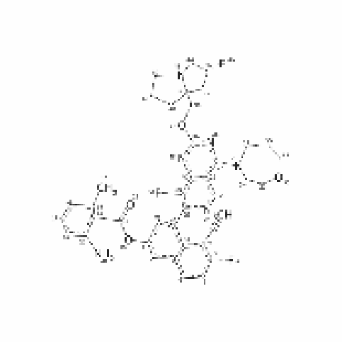 C#Cc1c(F)ccc2cc(OC(=O)c3c(C)cccc3N)cc(-c3ncc4c(N5CCCOCC5)nc(OCC56CCCN5C[C@H](F)C6)nc4c3F)c12